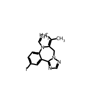 C=CN1C(=C(C)C)Cn2ncnc2-c2cc(I)ccc21